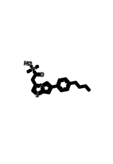 CCCCc1ccc(-c2cc3scc(CC(=O)[N+](C)(C)O)n3c2)cc1